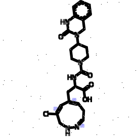 O=C(O)C(CC1=C/C/C=N\NC/C(Cl)=C\1)NC(=O)N1CCC(N2Cc3ccccc3NC2=O)CC1